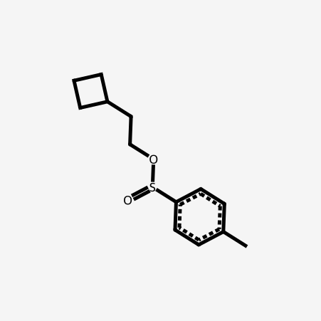 Cc1ccc(S(=O)OCCC2CCC2)cc1